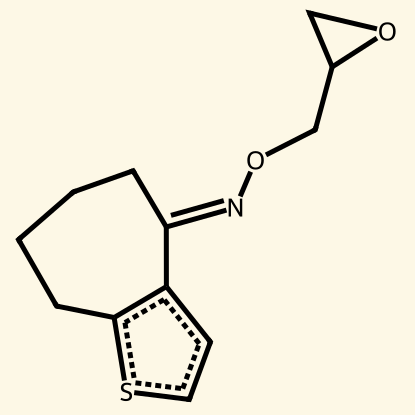 c1cc2c(s1)CCCCC2=NOCC1CO1